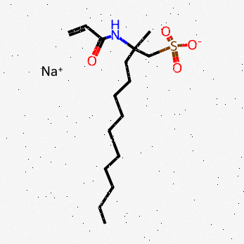 C=CC(=O)NC(C)(CCCCCCCCCC)CS(=O)(=O)[O-].[Na+]